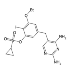 CCOc1cc(Cc2cnc(N)nc2N)cc(OS(=O)(=O)C2CC2)c1I